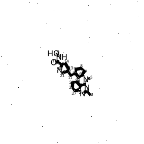 Cc1nc(N(C)c2cccc(Cc3ccc(C(=O)NO)nc3)c2)c2ccccc2n1